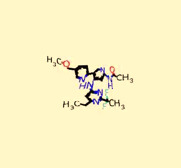 CCc1cc(Nc2cc(NC(C)=O)ncc2-c2ccc(COC)cn2)nc(C(C)(F)F)n1